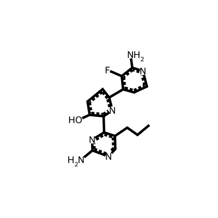 CCCc1cnc(N)nc1-c1nc(-c2ccnc(N)c2F)ccc1O